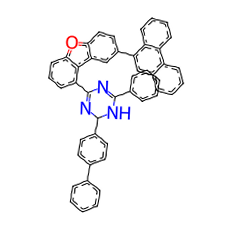 c1ccc(C2=NC(c3cccc4oc5ccc(-c6cc7ccccc7c7ccccc67)cc5c34)=NC(c3ccc(-c4ccccc4)cc3)N2)cc1